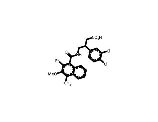 CCc1c(OC)c(C)c2ccccc2c1C(=O)NCC(CC(=O)O)c1ccc(Cl)c(Cl)c1